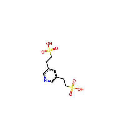 O=S(=O)(O)CCc1cncc(CCS(=O)(=O)O)c1